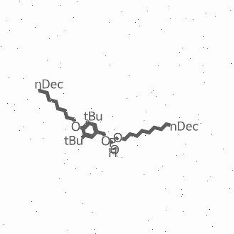 CCCCCCCCCCCCCCCCCCOc1c(C(C)(C)C)cc(CO[PH](=O)OCCCCCCCCCCCCCCCCCC)cc1C(C)(C)C